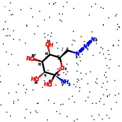 [N-]=[N+]=NC[C@H]1O[C@@](N)(O)[C@H](O)[C@@H](O)[C@@H]1O